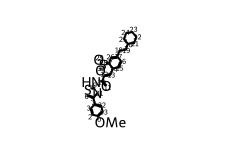 COc1ccc(-c2csc(NC(=O)C=CC3C=CC(CCC4CCCCC4)=CC3=S(=O)=O)n2)cc1